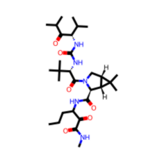 CCCC(NC(=O)[C@@H]1[C@@H]2[C@H](CN1C(=O)[C@@H](NC(=O)N[C@H](C(=O)C(C)C)C(C)C)C(C)(C)C)C2(C)C)C(=O)C(=O)NC